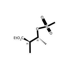 CCOC(=O)[C@H](C)[C@@H](C)OS(C)(=O)=O